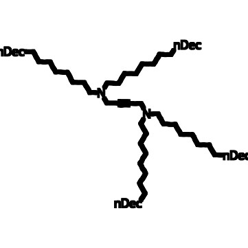 CCCCCCCCCCCCCCCCCCN(CC#CCN(CCCCCCCCCCCCCCCCCC)CCCCCCCCCCCCCCCCCC)CCCCCCCCCCCCCCCCCC